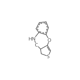 C1=C2Oc3ccccc3NCC2CS1